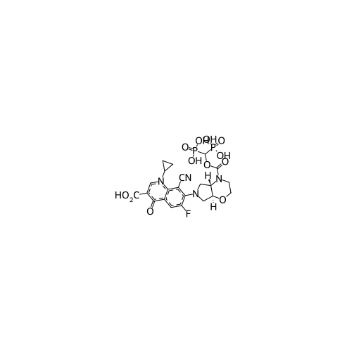 N#Cc1c(N2C[C@@H]3OCCN(C(=O)OC(P(=O)(O)O)P(=O)(O)O)[C@H]3C2)c(F)cc2c(=O)c(C(=O)O)cn(C3CC3)c12